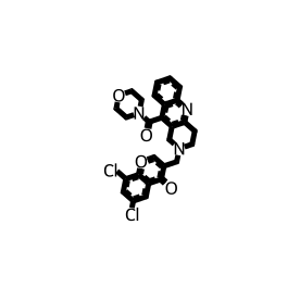 O=C(c1c2c(nc3ccccc13)CCN(Cc1coc3c(Cl)cc(Cl)cc3c1=O)C2)N1CCOCC1